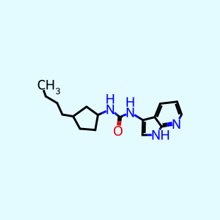 CCCCC1CCC(NC(=O)Nc2c[nH]c3ncccc23)C1